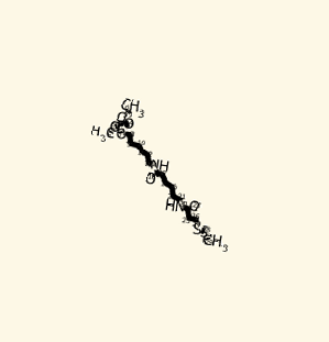 CCOP(=O)(OC)OCCCCCCNC(=O)CCCCCNC(=O)CCSSC